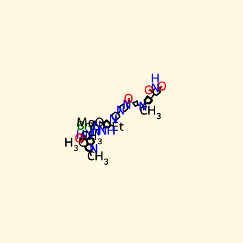 CCc1cc(Nc2ncc(Br)c(Nc3ccc4nc(C)ccc4c3P(C)(C)=O)n2)c(OC)cc1N1CCC(N2CCN(C(=O)[C@H]3C[C@H](N(C)c4ccc(C5CCC(=O)NC5=O)cc4)C3)CC2)CC1